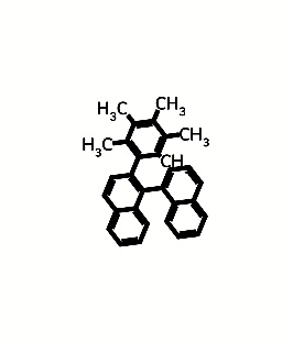 Cc1c(C)c(C)c(-c2ccc3ccccc3c2-c2cccc3ccccc23)c(C)c1C